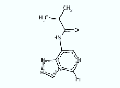 CC(C)C(=O)Nc1cnc(Cl)n2cnnc12